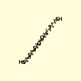 SCCCCSCCSCCOCCOCCSCCCSCCCS